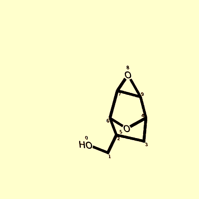 OCC1CC2OC1C1OC21